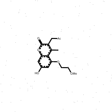 COCCOc1cc(O)cc2oc(=O)c(CC(C)=O)c(C)c12